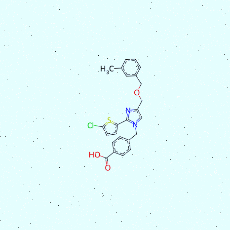 Cc1cccc(COCc2cn(Cc3ccc(C(=O)O)cc3)c(-c3ccc(Cl)s3)n2)c1